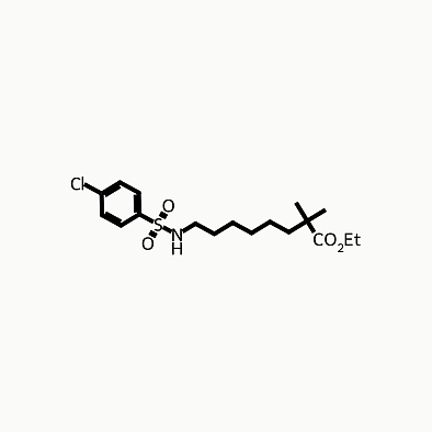 CCOC(=O)C(C)(C)CCCCCCNS(=O)(=O)c1ccc(Cl)cc1